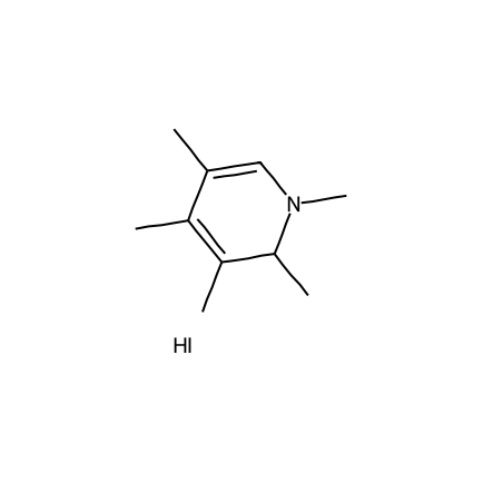 CC1=CN(C)C(C)C(C)=C1C.I